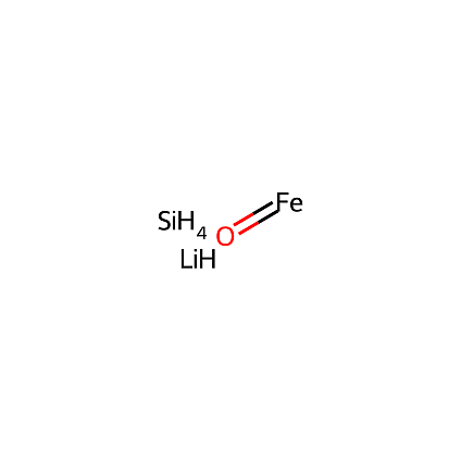 [LiH].[O]=[Fe].[SiH4]